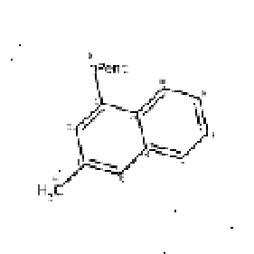 CCCCCc1cc(C)cc2ccccc12